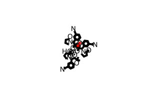 CC1(C)Oc2ccc(C#N)cc2C(N2CCCC2=O)C1OC(OC1[C@H](N2CCCC2=O)c2cc(C#N)ccc2OC1(C)C)P(=O)(O)OC1C(N2CCCC2=O)c2cc(C#N)ccc2OC1(C)C